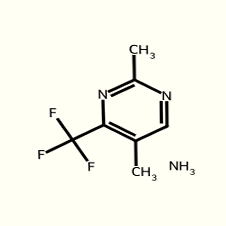 Cc1ncc(C)c(C(F)(F)F)n1.N